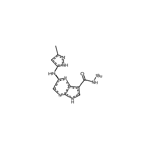 Cc1cc(Nc2cnc3[nH]cc(C(=O)NC(C)(C)C)c3n2)[nH]n1